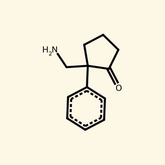 NCC1(c2ccccc2)CCCC1=O